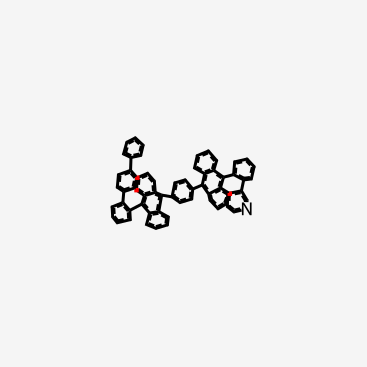 c1ccc(-c2ccc(-c3ccccc3-c3c4ccccc4c(-c4ccc(-c5c6ccccc6c(-c6ccccc6-c6cccnc6)c6ccccc56)cc4)c4ccccc34)cc2)cc1